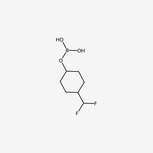 OB(O)OC1CCC(C(F)F)CC1